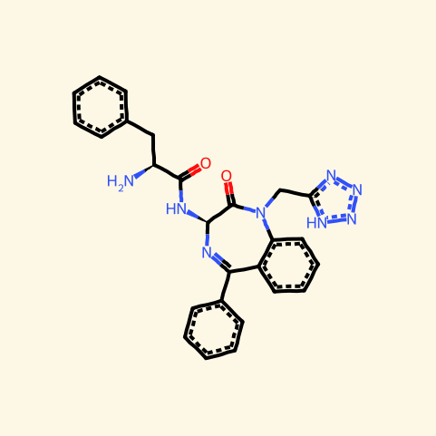 N[C@@H](Cc1ccccc1)C(=O)N[C@@H]1N=C(c2ccccc2)c2ccccc2N(Cc2nnn[nH]2)C1=O